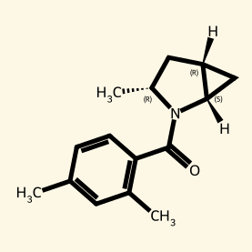 Cc1ccc(C(=O)N2[C@H](C)C[C@@H]3C[C@@H]32)c(C)c1